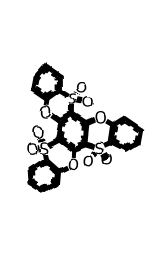 O=S1(=O)c2ccccc2Oc2c1c1c(c3c2S(=O)(=O)c2ccccc2O3)S(=O)(=O)c2ccccc2O1